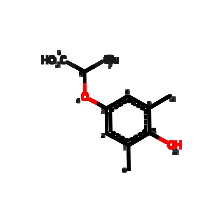 Cc1cc(OC(C(=O)O)C(C)(C)C)cc(C)c1O